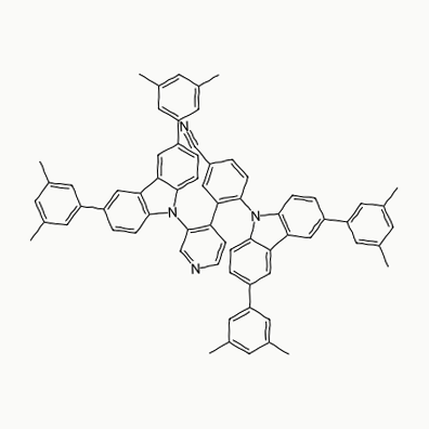 Cc1cc(C)cc(-c2ccc3c(c2)c2cc(-c4cc(C)cc(C)c4)ccc2n3-c2ccc(C#N)cc2-c2ccncc2-n2c3ccc(-c4cc(C)cc(C)c4)cc3c3cc(-c4cc(C)cc(C)c4)ccc32)c1